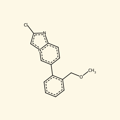 COCc1ccccc1-c1ccc2nc(Cl)cn2c1